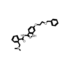 CN(C)Cc1ccccc1C(=O)Nc1n[nH]c2cc(OCCOCc3ccccc3)ccc12